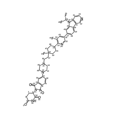 O=C1CCC(N2C(=O)c3ccc(N4CCN(CCC5(F)CCC(c6ncc(-c7ccc8c9cnccc9n(C(F)F)c8c7)cc6F)CC5)CC4)cc3C2=O)C(=O)N1